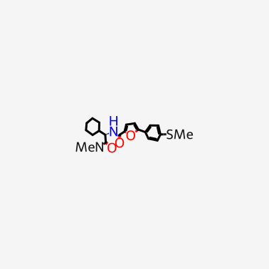 CNC(=O)[C@@H](NC(=O)c1ccc(-c2ccc(SC)cc2)o1)C1CCCCC1